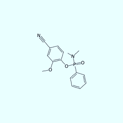 COc1cc(C#N)ccc1OP(=O)(c1ccccc1)N(C)C